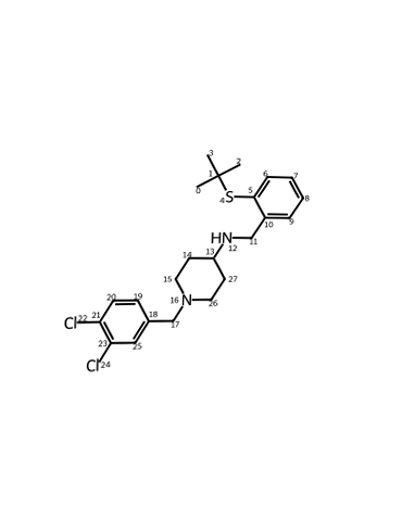 CC(C)(C)Sc1ccccc1CNC1CCN(Cc2ccc(Cl)c(Cl)c2)CC1